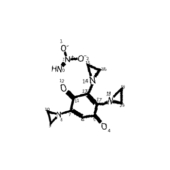 N=[N+]([O-])[O-].O=C1C=C(N2CC2)C(=O)C(N2CC2)=C1N1CC1